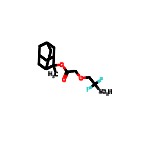 CC1(OC(=O)COCC(F)(F)S(=O)(=O)O)C2CC3CC(C2)CC1C3